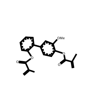 C=C(C)C(=O)Oc1ccc(-c2ccccc2OC(=O)C(=C)C)cc1OC